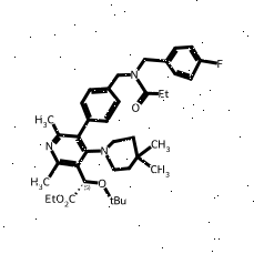 CCOC(=O)[C@@H](OC(C)(C)C)c1c(C)nc(C)c(-c2ccc(CN(Cc3ccc(F)cc3)C(=O)CC)cc2)c1N1CCC(C)(C)CC1